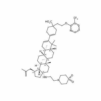 C=C(C)C[C@@H]1CC[C@]2(NCCN3CCS(=O)(=O)CC3)CC[C@]3(C)[C@H](CC[C@@H]4[C@@]5(C)CC=C(C6=CCC(CCOc7ncccc7C(F)(F)F)(C(=O)O)CC6)C(C)(C)[C@@H]5CC[C@]43C)[C@@H]12